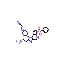 N#CCCN1CCC(n2c(CCN)nc3cnc4c(ccn4S(=O)(=O)c4ccccc4)c32)CC1